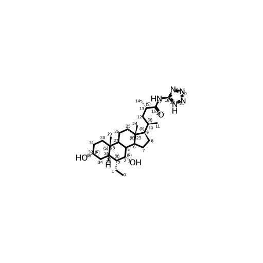 CC[C@H]1[C@@H](O)C2C3CC[C@H]([C@H](C)C[C@H](C)C(=O)Nc4nnn[nH]4)[C@@]3(C)CCC2[C@@]2(C)CC[C@@H](O)C[C@@H]12